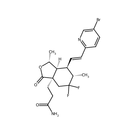 C[C@H]1OC(=O)[C@]2(CCC(N)=O)CC(F)(F)[C@@H](C)[C@H](C=Cc3ccc(Br)cn3)[C@H]12